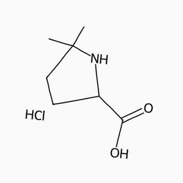 CC1(C)CCC(C(=O)O)N1.Cl